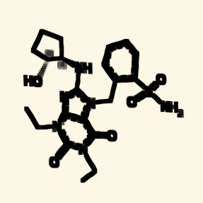 CCn1c(=O)c2c(nc(N[C@@H]3CCC[C@H]3O)n2Cc2ccccc2S(N)(=O)=O)n(CC)c1=O